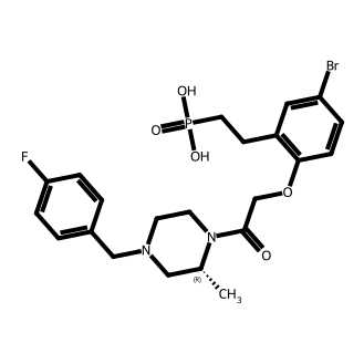 C[C@@H]1CN(Cc2ccc(F)cc2)CCN1C(=O)COc1ccc(Br)cc1CCP(=O)(O)O